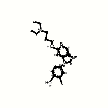 CCN(CC)CCCNc1ncc2ncn(-c3ccc(O)c(C)c3)c2n1